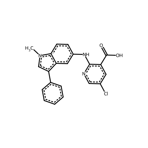 Cn1cc(-c2ccccc2)c2cc(Nc3ncc(Cl)cc3C(=O)O)ccc21